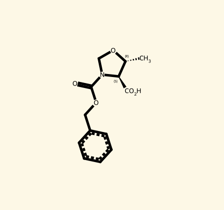 C[C@H]1OCN(C(=O)OCc2ccccc2)[C@@H]1C(=O)O